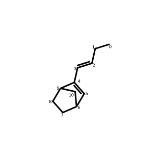 CCC=CC1=CC2CCC1C2